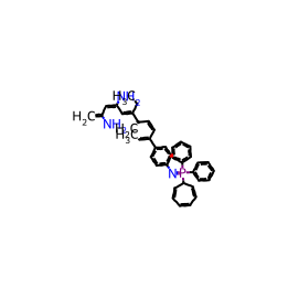 C=C(N)/C=C(N)\C=C(/CC)C(=C)/C=C\C(=C/C)c1ccc(N=P(c2ccccc2)(c2ccccc2)C2C=CC=CC=C2)cc1